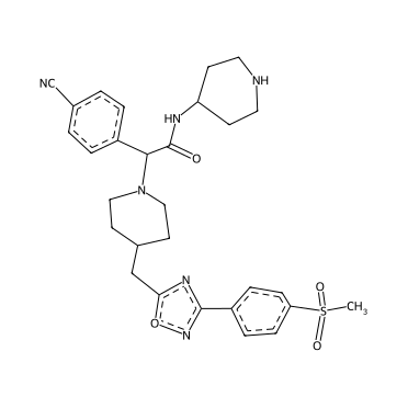 CS(=O)(=O)c1ccc(-c2noc(CC3CCN(C(C(=O)NC4CCNCC4)c4ccc(C#N)cc4)CC3)n2)cc1